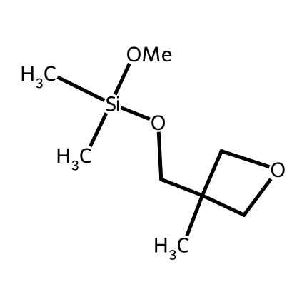 CO[Si](C)(C)OCC1(C)COC1